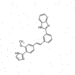 COc1cc(C=Cc2cccc(-c3nc4ccccc4[nH]3)c2)ccc1-c1ncc[nH]1